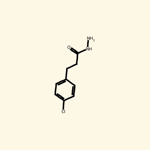 NNC(=O)CCc1ccc(Cl)cc1